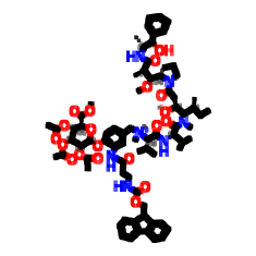 CC[C@H](C)[C@@H]([C@H](CC(=O)N1CCC[C@H]1[C@H](OC)[C@@H](C)C(=O)N[C@H](C)[C@H](O)c1ccccc1)OC)N(C)C(=O)[C@@H](NC(=O)[C@H](C(C)C)[N+](C)(C)Cc1ccc(O[C@@H]2O[C@H](C(=O)OC)[C@@H](OC(C)=O)[C@@H](OC(C)=O)[C@@H]2OC(C)=O)c(NC(=O)CCNC(=O)OCC2c3ccccc3-c3ccccc32)c1)C(C)C